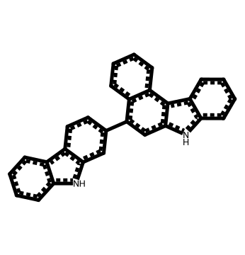 c1ccc2c(c1)[nH]c1cc(-c3cc4[nH]c5ccccc5c4c4ccccc34)ccc12